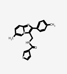 Cc1ccc(-c2nc3ccc(C)cn3c2CNC(=O)c2ccsc2)cc1